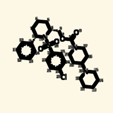 O=C(OC[C@H]1CCC[C@@H](c2ccccc2)N1S(=O)(=O)c1ccc(Cl)cc1)N1CCC(N2CCCCC2)CC1